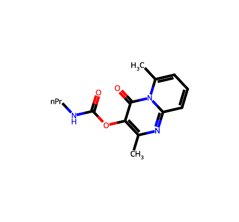 CCCNC(=O)Oc1c(C)nc2cccc(C)n2c1=O